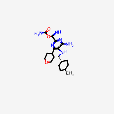 C[C@H]1CC[C@H](CNc2c(N)nc(C(=N)OC(N)=O)nc2C2CCOCC2)CC1